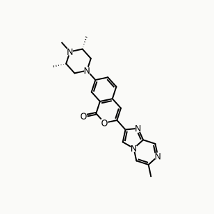 Cc1cn2cc(-c3cc4ccc(N5C[C@@H](C)N(C)[C@@H](C)C5)cc4c(=O)o3)nc2cn1